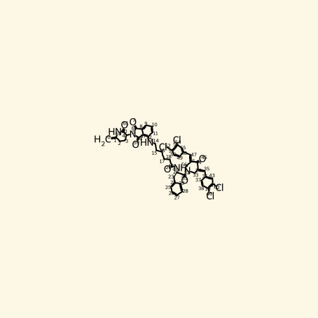 C=C1CCC(N2C(=O)c3cccc(NCCCCCC(=O)N[C@H](Cc4ccccc4)C(=O)N4C/C(=C\c5ccc(Cl)c(Cl)c5)C(=O)/C(=C/c5ccc(Cl)c(Cl)c5)C4)c3C2=O)C(=O)N1